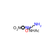 CC(=O)NC(CCCCN)C(=O)Nc1ccc([N+](=O)[O-])cc1